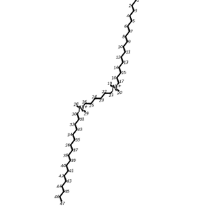 CCCCCCCCCCCCCCCCCC[N+](C)(C)CCCCCC[N+](C)(C)CCCCCCCCCCCCCCCCCC